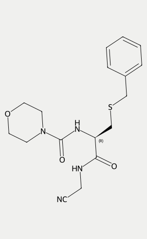 N#CCNC(=O)[C@H](CSCc1ccccc1)NC(=O)N1CCOCC1